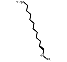 CCCCCCCCCCCCCCCCC=CNN